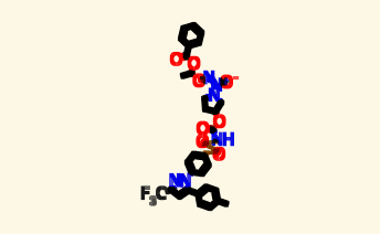 Cc1ccc(-c2cc(C(F)(F)F)nn2-c2ccc(S(=O)(=O)NC(=O)OC3CCN(/[N+]([O-])=N\OC(C)OC(=O)c4ccccc4)C3)cc2)cc1